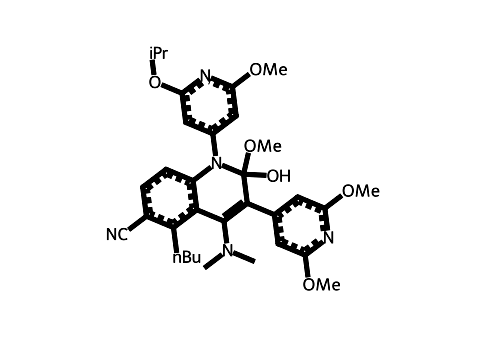 CCCCc1c(C#N)ccc2c1C(N(C)C)=C(c1cc(OC)nc(OC)c1)C(O)(OC)N2c1cc(OC)nc(OC(C)C)c1